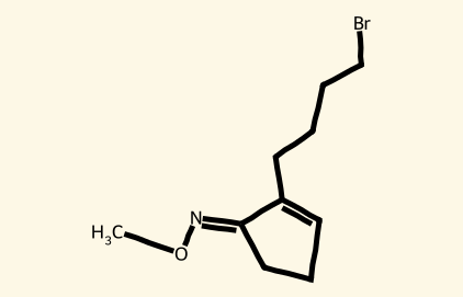 CON=C1CCC=C1CCCCBr